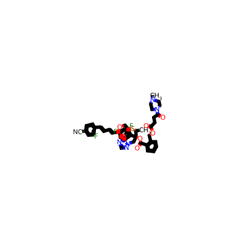 CC(SC1COC(C=CC=Cc2ccc(C#N)cc2F)OC1)C(Cn1cncn1)(OC(=O)c1ccccc1COC(=O)CCC(=O)N1CCN(C)CC1)c1ccc(F)cc1F